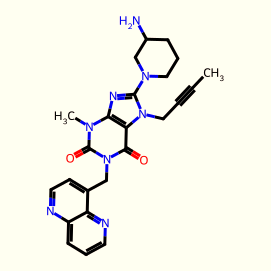 CC#CCn1c(N2CCCC(N)C2)nc2c1c(=O)n(Cc1ccnc3cccnc13)c(=O)n2C